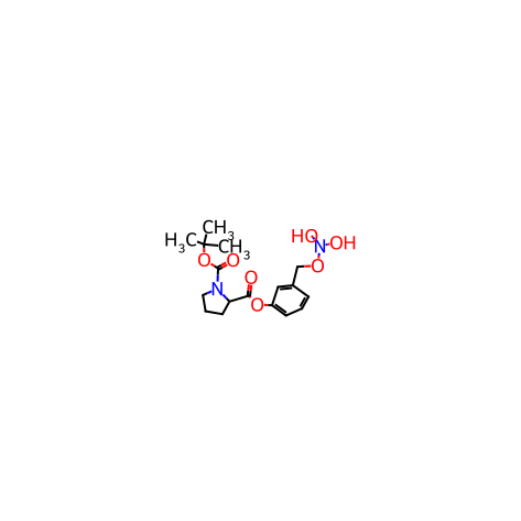 CC(C)(C)OC(=O)N1CCCC1C(=O)Oc1cccc(CON(O)O)c1